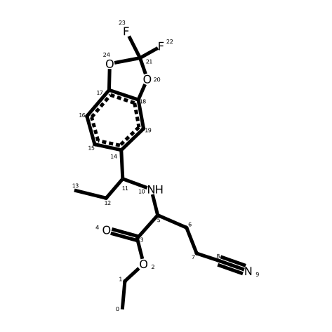 CCOC(=O)C(CCC#N)NC(CC)c1ccc2c(c1)OC(F)(F)O2